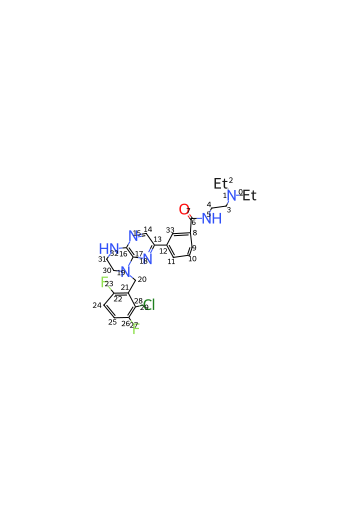 CCN(CC)CCNC(=O)c1cccc(-c2cnc3c(n2)N(Cc2c(F)ccc(F)c2Cl)CCN3)c1